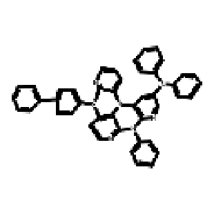 c1ccc(-c2ccc(N3c4ccnc5c4B(c4cccnc43)c3cc(N(c4ccccc4)c4ccccc4)cnc3N5c3ccccc3)cc2)cc1